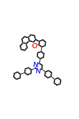 c1ccc(-c2ccc(-c3cc(-c4ccc(-c5cccc6c5oc5c6ccc6ccc7ccccc7c65)cc4)nc(-c4ccc(-c5ccccc5)cc4)n3)cc2)cc1